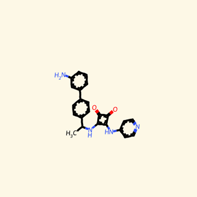 CC(Nc1c(Nc2ccncc2)c(=O)c1=O)c1ccc(-c2cccc(N)c2)cc1